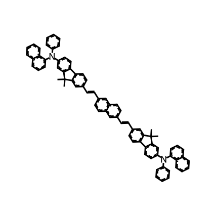 CC1(C)c2cc(/C=C/c3ccc4cc(/C=C/c5ccc6c(c5)C(C)(C)c5cc(N(c7ccccc7)c7cccc8ccccc78)ccc5-6)ccc4c3)ccc2-c2ccc(N(c3ccccc3)c3cccc4ccccc34)cc21